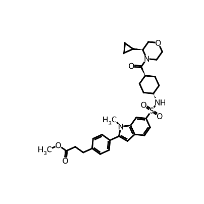 COC(=O)CCc1ccc(-c2cc3ccc(S(=O)(=O)N[C@H]4CC[C@H](C(=O)N5CCOC[C@@H]5C5CC5)CC4)cc3n2C)cc1